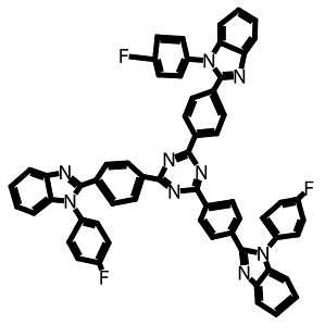 Fc1ccc(-n2c(-c3ccc(-c4nc(-c5ccc(-c6nc7ccccc7n6-c6ccc(F)cc6)cc5)nc(-c5ccc(-c6nc7ccccc7n6-c6ccc(F)cc6)cc5)n4)cc3)nc3ccccc32)cc1